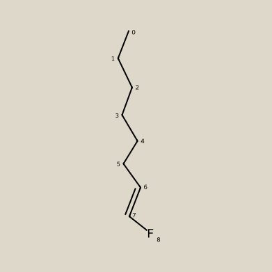 CCCCCC/C=C/F